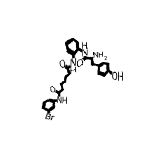 N[C@@H](Cc1ccc(O)cc1)C(=O)Nc1ccccc1NC(=O)CCCCCC(=O)Nc1cccc(Br)c1